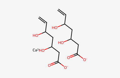 C=CC(O)CC(O)CC(=O)[O-].C=CC(O)CC(O)CC(=O)[O-].[Ca+2]